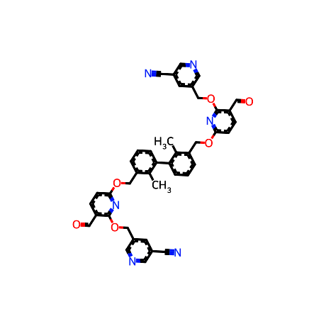 Cc1c(COc2ccc(C=O)c(OCc3cncc(C#N)c3)n2)cccc1-c1cccc(COc2ccc(C=O)c(OCc3cncc(C#N)c3)n2)c1C